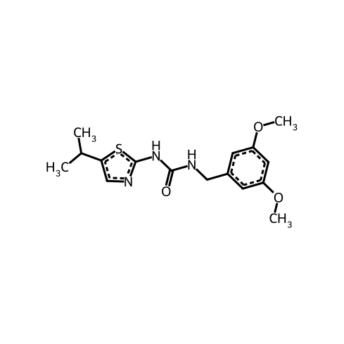 COc1cc(CNC(=O)Nc2ncc(C(C)C)s2)cc(OC)c1